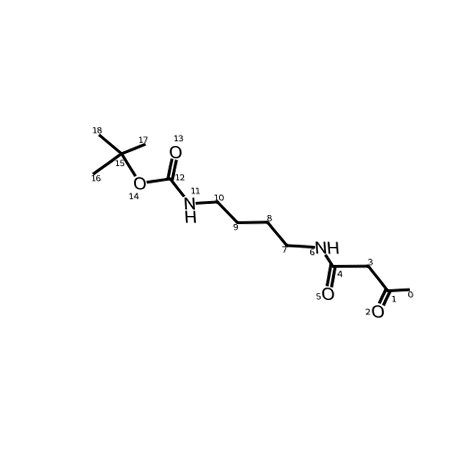 CC(=O)CC(=O)NCCCCNC(=O)OC(C)(C)C